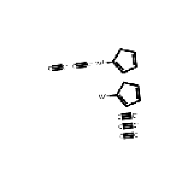 [C-]#[C-].[C-]#[C-].[C-]#[C-].[C-]#[C-].[C-]#[C-].[W+5][C]1=CC=CC1.[W+5][C]1=CC=CC1